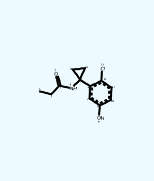 CCC(=O)NC1(c2cc(O)ccc2Cl)CC1